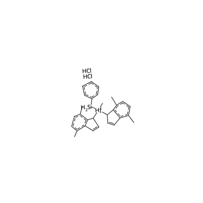 Cc1ccc(C)c2c1C=C[CH]2[Hf]([CH3])([SiH2]c1ccccc1)[CH]1C=Cc2c(C)ccc(C)c21.Cl.Cl